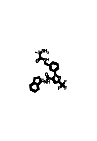 C[C@H](N)C(=O)NCc1cccc(-n2nc(C(F)(F)F)cc2C(=O)N[C@@H]2CCc3ccccc32)c1